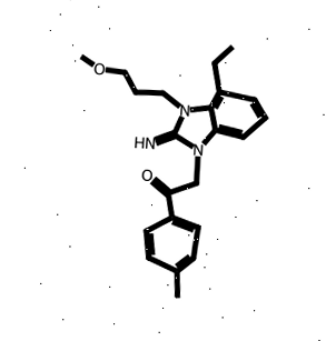 CCc1cccc2c1n(CCCOC)c(=N)n2CC(=O)c1ccc(C)cc1